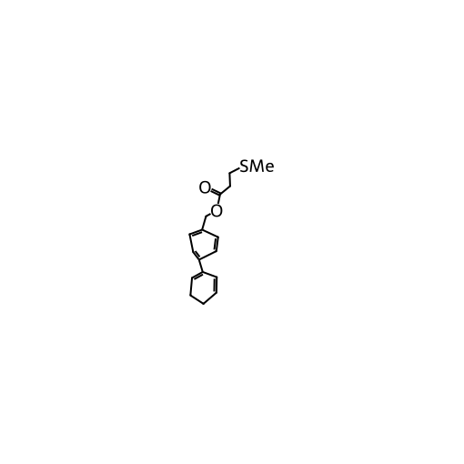 CSCCC(=O)OCc1ccc(C2=CCCC=C2)cc1